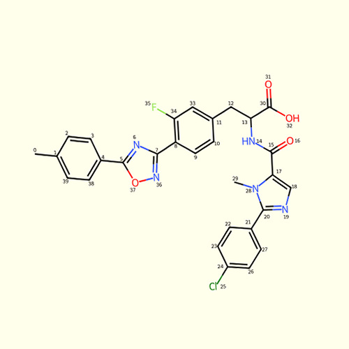 Cc1ccc(-c2nc(-c3ccc(CC(NC(=O)c4cnc(-c5ccc(Cl)cc5)n4C)C(=O)O)cc3F)no2)cc1